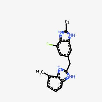 CCc1nc2c(F)cc(Cc3nc4c(C)cccc4[nH]3)cc2[nH]1